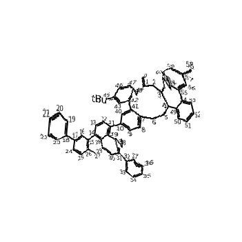 C=C1CC2C(CCc3ccc(-c4ccc(-c5cc(-c6ccccc6)ccc5C)c5ccc(-c6ccccc6)nc45)cc3-c3cc(C(C)(C)C)cc[n+]31)c1ccccc1-c1cc(C)cc[n+]12